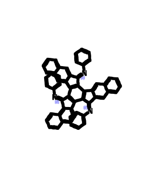 c1ccc(/N=c2/c3cc4ccccc4cc3c3c2c2c4ccc5ccccc5c4/c(=N/c4ccccc4)c2c2c4cc5ccccc5cc4/c(=N\c4ccccc4)c32)cc1